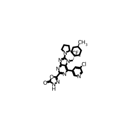 C[C@H]1CC[C@H](Cn2c(N3CCC[C@H]3C(F)(F)F)nc3nc(-c4n[nH]c(=O)o4)nc(-c4cncc(Cl)c4)c32)CC1